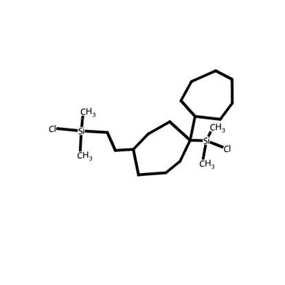 C[Si](C)(Cl)CCC1CCCC(C2CCCCCC2)([Si](C)(C)Cl)CC1